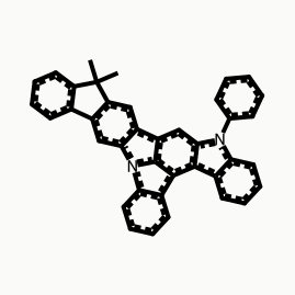 CC1(C)c2ccccc2-c2cc3c(cc21)c1cc2c(c4ccccc4n2-c2ccccc2)c2c4ccccc4n3c12